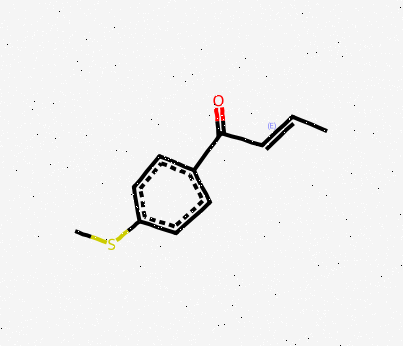 C/C=C/C(=O)c1ccc(SC)cc1